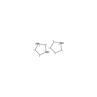 C1CCNC1.C1CNCN1